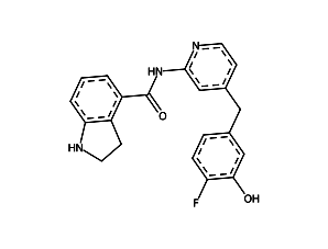 O=C(Nc1cc(Cc2ccc(F)c(O)c2)ccn1)c1cccc2c1CCN2